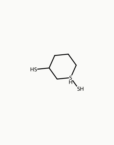 SC1CCC[SH](S)C1